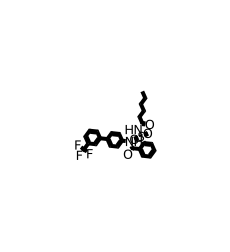 CCCCCC(=O)NS(=O)(=O)c1ccccc1C(=O)Nc1ccc(-c2cccc(C(F)(F)F)c2)cc1